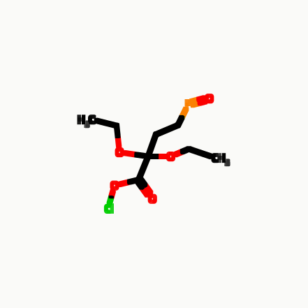 CCOC(CCP=O)(OCC)C(=O)OCl